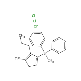 CCCC1=[C]([Ti+3])CC=C1[Si](C)(c1ccccc1)c1ccccc1.[Cl-].[Cl-].[Cl-]